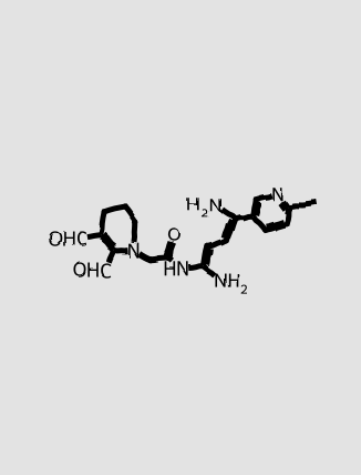 Cc1ccc(/C(N)=C/C=C(\N)NC(=O)CN2CCCC(C=O)=C2C=O)cn1